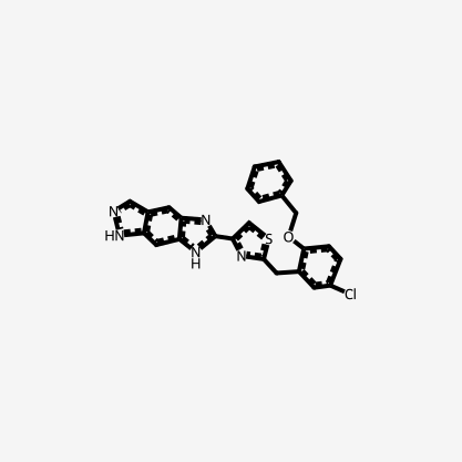 Clc1ccc(OCc2ccccc2)c(Cc2nc(-c3nc4cc5cn[nH]c5cc4[nH]3)cs2)c1